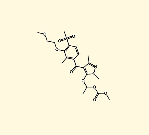 COCCOc1c(S(C)(=O)=O)ccc(C(=O)c2c(C)nn(C)c2OC(C)OC(=O)OC)c1C